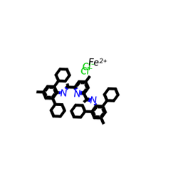 CC(=Nc1c(C2CCCCC2)cc(C)cc1C1CCCCC1)c1cc(C)cc(C(C)=Nc2c(C3CCCCC3)cc(C)cc2C2CCCCC2)n1.[Cl-].[Cl-].[Fe+2]